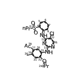 CCCS(=O)(=O)c1ccccc1Nc1nc(Nc2cc(C(C)=O)c(C)cc2OC(C)C)ncc1Cl